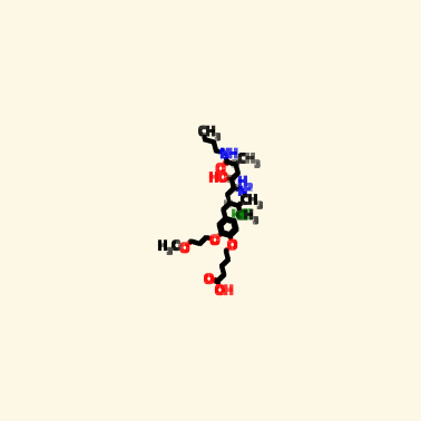 CCCCNC(=O)[C@H](C)C[C@H](O)[C@@H](N)C[C@H](Cc1ccc(OCCCCC(=O)O)c(OCCCOC)c1)C(C)C.Cl